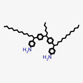 CCCCCCCCCCCCC(c1ccc(N)cc1)c1ccc(C(CCCCC)c2ccc(C(CCCCCCCCCCCC)c3ccc(N)cc3)cc2)cc1